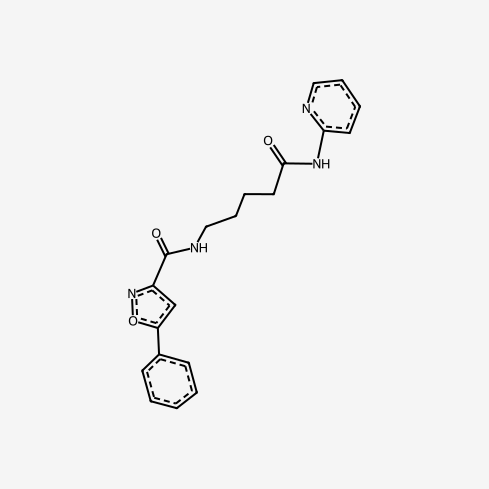 O=C(CCCCNC(=O)c1cc(-c2ccccc2)on1)Nc1ccccn1